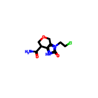 NC(=O)C1COCc2c1[nH]c(=O)n2CCCl